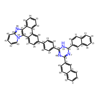 c1ccc2cc(C3=NC(c4ccc5ccccc5c4)NC(c4ccc(-c5ccc6c(c5)c5ccccc5c5nc7ccccn7c65)cc4)=N3)ccc2c1